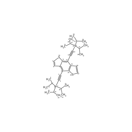 CC(C)[Si](C#Cc1c2ccsc2c(C#C[Si](C(C)C)(C(C)C)C(C)C)c2ccsc12)(C(C)C)C(C)C